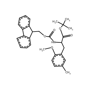 COc1ccc(C)cc1CC(NC(=O)OCC1c2ccccc2-c2ccccc21)C(=O)OC(C)(C)C